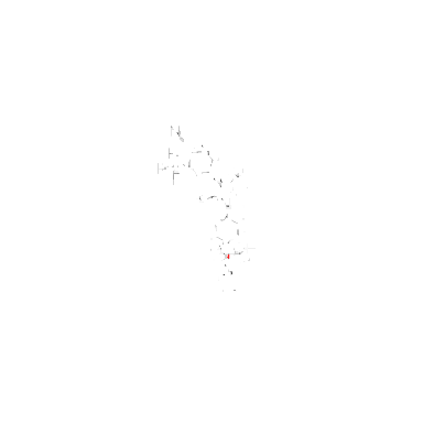 N#Cc1ncc(N2C(=O)C3(CCC3)N(c3ccc(C4CC5CCC(C4)N5C(=O)O)cc3)C2=S)cc1C(F)(F)F